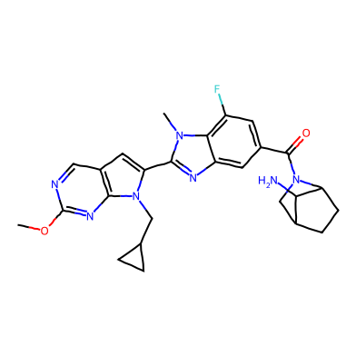 COc1ncc2cc(-c3nc4cc(C(=O)N5CC6CCC5C6N)cc(F)c4n3C)n(CC3CC3)c2n1